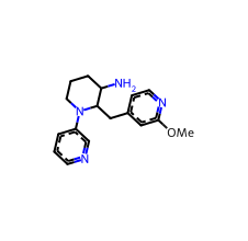 COc1cc(CC2C(N)CCCN2c2cccnc2)ccn1